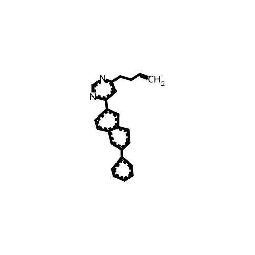 C=CCCc1cc(-c2ccc3cc(-c4ccccc4)ccc3c2)ncn1